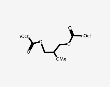 CCCCCCCCC(=O)OCC(COC(=O)CCCCCCCC)OC